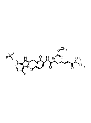 COC(=O)NC(CCC=CC(=O)N(C)C)C(=O)Nc1ccc(Cl)n(Cc2nc3c(F)cnc(CCC(F)(F)F)c3[nH]2)c1=O